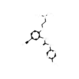 C#Cc1ccc(OCCN(C)C)c(NC(=O)Nc2cnc(C)cn2)c1